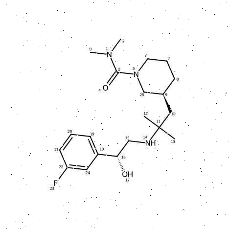 CN(C)C(=O)N1CCC[C@@H](CC(C)(C)NC[C@H](O)c2cccc(F)c2)C1